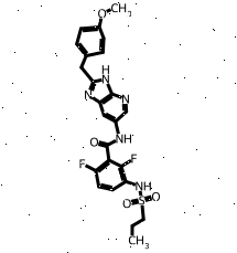 CCCS(=O)(=O)Nc1ccc(F)c(C(=O)Nc2cnc3[nH]c(Cc4ccc(OC)cc4)nc3c2)c1F